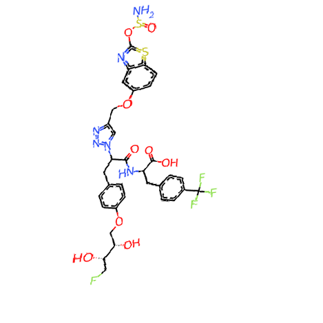 NS(=O)Oc1nc2cc(OCc3cn(C(Cc4ccc(OC[C@H](O)[C@@H](O)CF)cc4)C(=O)NC(Cc4ccc(C(F)(F)F)cc4)C(=O)O)nn3)ccc2s1